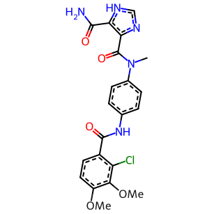 COc1ccc(C(=O)Nc2ccc(N(C)C(=O)c3nc[nH]c3C(N)=O)cc2)c(Cl)c1OC